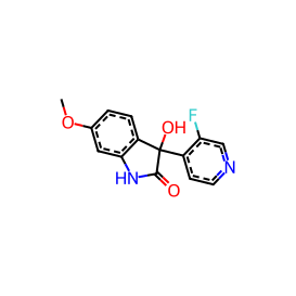 COc1ccc2c(c1)NC(=O)C2(O)c1ccncc1F